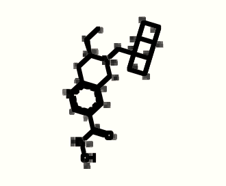 CC[C@@H]1Cc2ncc(C(=O)NO)cc2CN1CC12C3C4C5C3C1C5C42